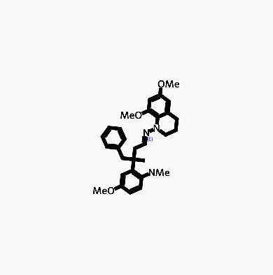 CNc1ccc(OC)cc1C(C)(C/C=N/N1CCCc2cc(OC)cc(OC)c21)Cc1ccccc1